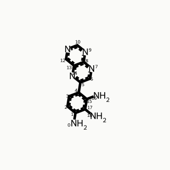 Nc1ccc(-c2cnc3ncncc3n2)c(N)c1N